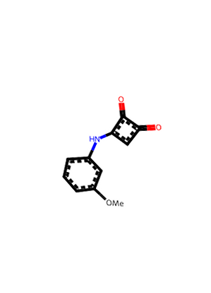 COc1cccc(Nc2cc(=O)c2=O)c1